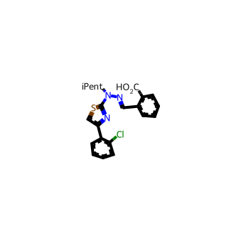 CCCC(C)N(/N=C/c1ccccc1C(=O)O)c1nc(-c2ccccc2Cl)cs1